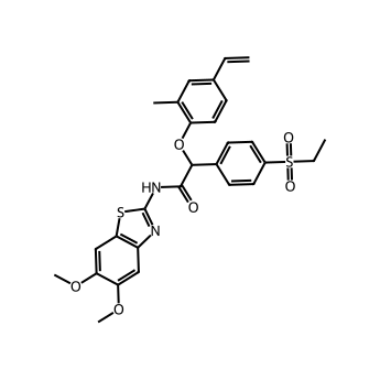 C=Cc1ccc(OC(C(=O)Nc2nc3cc(OC)c(OC)cc3s2)c2ccc(S(=O)(=O)CC)cc2)c(C)c1